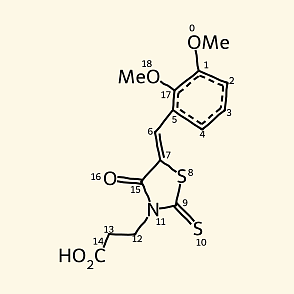 COc1cccc(/C=C2\SC(=S)N(CCC(=O)O)C2=O)c1OC